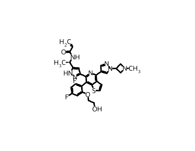 C=CC(=O)N[C@H](C)c1cc(-c2nc(-c3cnn(C4CN(C)C4)c3)c3ccsc3c2-c2c(F)cc(F)cc2OCCO)n[nH]1